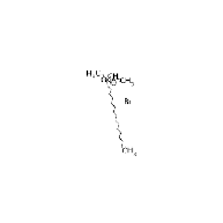 CCCCCCCCCCCCCCCC[N+](C)(OCC)OCC.[Br-]